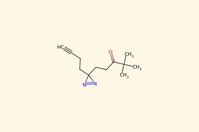 C#CCCC1(CCC(=O)C(C)(C)C)N=N1